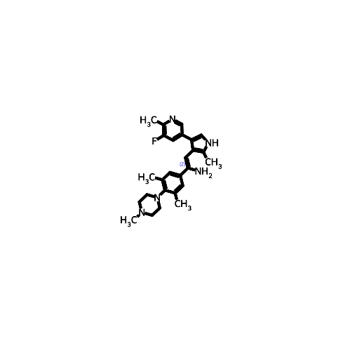 Cc1cc(/C(N)=C/c2c(-c3cnc(C)c(F)c3)c[nH]c2C)cc(C)c1N1CCN(C)CC1